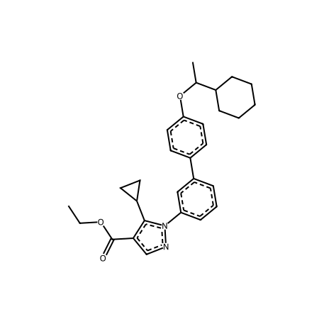 CCOC(=O)c1cnn(-c2cccc(-c3ccc(OC(C)C4CCCCC4)cc3)c2)c1C1CC1